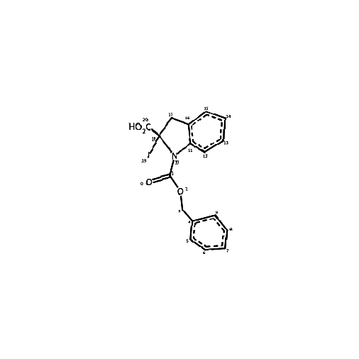 O=C(OCc1ccccc1)N1c2ccccc2CC1(I)C(=O)O